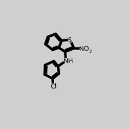 O=[N+]([O-])c1sc2ccccc2c1Nc1cccc(Cl)c1